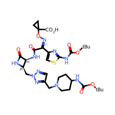 CC(C)(C)OC(=O)Nc1nc(/C(=N/OC2(C(=O)O)CC2)C(=O)N[C@@H]2C(=O)N[C@@H]2Cn2ncc(CN3CCC(NC(=O)OC(C)(C)C)CC3)n2)cs1